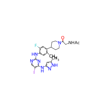 CC(=O)NCC(=O)N1CCC(c2cc(F)c(Nc3ncc(I)c(Nc4cc(C)[nH]n4)n3)cc2C)CC1